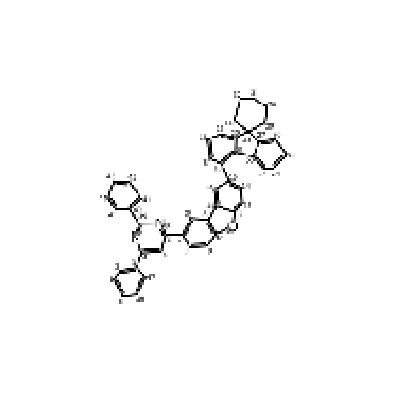 c1ccc(-c2cc(-c3ccc4oc5ccc(-c6cccc7c6-c6ccccc6C76CCCCC6)cc5c4c3)nc(-c3ccccc3)n2)cc1